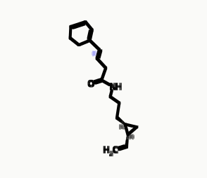 C=C[C@@H]1C[C@@H]1CCCNC(=O)C/C=C/C1=CC=CCC1